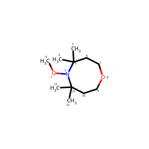 CON1C(C)(C)CCOCCC1(C)C